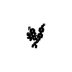 CCN(CC)CCN(Cc1ccc(-c2ccc(CF)cc2)cc1)C(=O)Cn1c(SCc2ccc(F)cc2)nc(=O)c(C)c1C